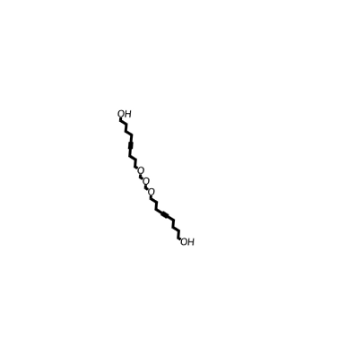 OCCCCC#CCCCOCOCOCCCC#CCCCCO